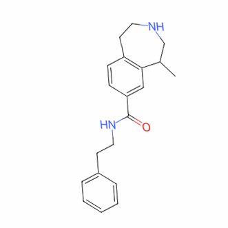 CC1CNCCc2ccc(C(=O)NCCc3ccccc3)cc21